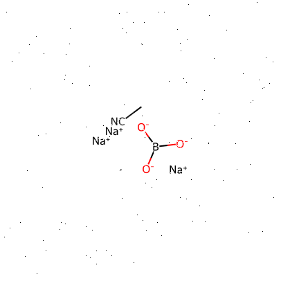 CC#N.[Na+].[Na+].[Na+].[O-]B([O-])[O-]